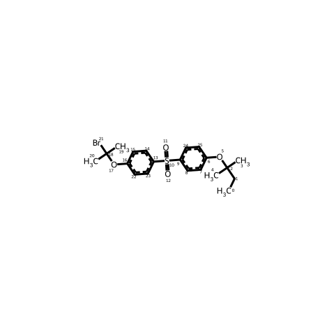 CCC(C)(C)Oc1ccc(S(=O)(=O)c2ccc(OC(C)(C)Br)cc2)cc1